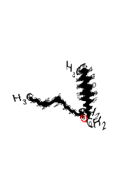 C=C(CCCCCCCCCCCCCC)OC(=C)CCCCCCCCCCCCCC